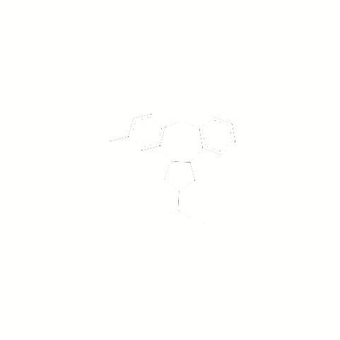 CN(C)C1CC2c3ccccc3Sc3ccc(Cl)cc3N2C1